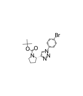 CC(C)(C)OC(=O)N1CCC[C@H]1c1cn(-c2ccc(Br)cc2)nn1